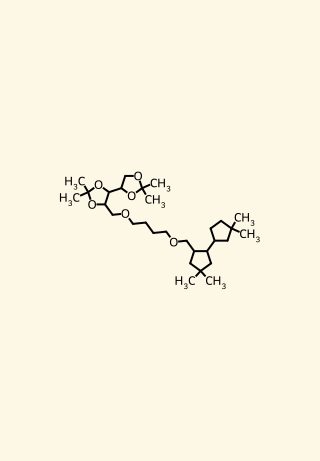 CC1(C)CCC(C2CC(C)(C)CC2COCCCCOCC2OC(C)(C)OC2C2COC(C)(C)O2)C1